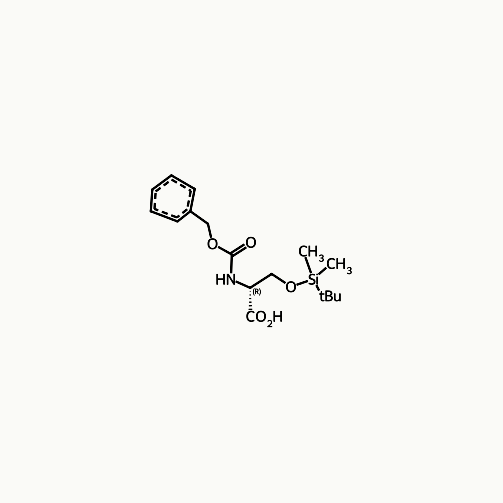 CC(C)(C)[Si](C)(C)OC[C@@H](NC(=O)OCc1ccccc1)C(=O)O